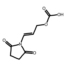 O=C(O)OCC=CN1C(=O)CCC1=O